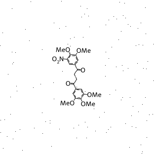 COc1cc(C(=O)CCC(=O)c2cc(OC)c(OC)c([N+](=O)[O-])c2)cc(OC)c1OC